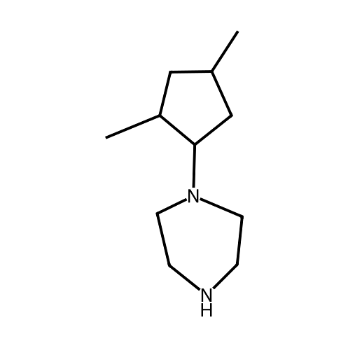 CC1CC(C)C(N2CCNCC2)C1